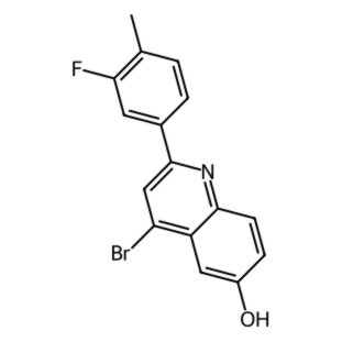 Cc1ccc(-c2cc(Br)c3cc(O)ccc3n2)cc1F